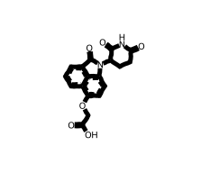 O=C(O)COc1ccc2c3c(cccc13)C(=O)N2C1CCC(=O)NC1=O